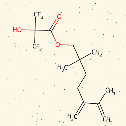 C=C(C)C(=C)CCC(C)(C)COC(=O)C(O)(C(F)(F)F)C(F)(F)F